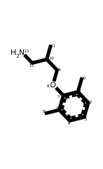 Cc1cccc(C)c1OCC(C)CN